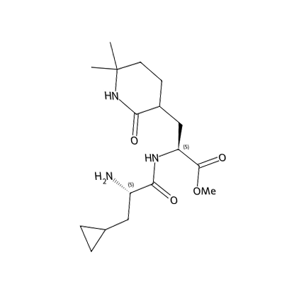 COC(=O)[C@H](CC1CCC(C)(C)NC1=O)NC(=O)[C@@H](N)CC1CC1